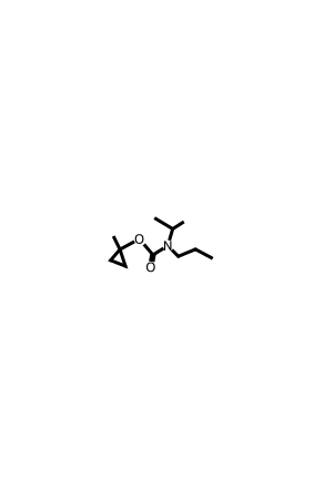 CCCN(C(=O)OC1(C)CC1)C(C)C